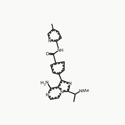 CNC(C)c1nc(-c2ccc(C(=O)Nc3ccc(C)cn3)cc2)c2c(N)nccn12